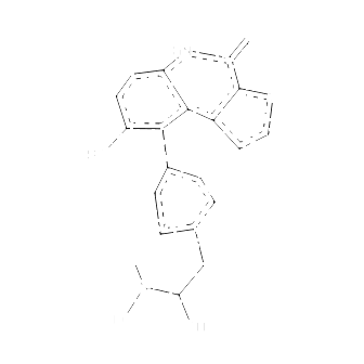 CCN(CC)C(C)Cc1ccc(-c2c(O)ccc3[nH]c(=O)c4sccc4c23)cc1